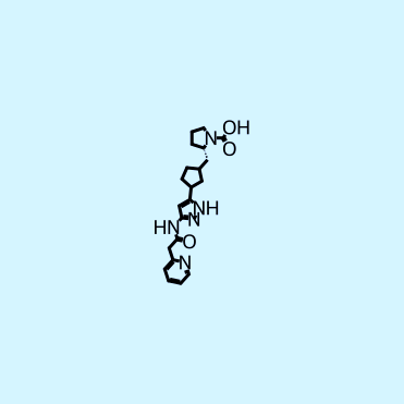 O=C(Cc1ccccn1)Nc1cc(C2CCC(C[C@@H]3CCCN3C(=O)O)C2)[nH]n1